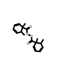 CC1C=CC=CC1(C)C(=O)OOC(=O)C1(C)C=CC=CC1C